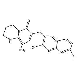 O=c1c(Cc2cc3ccc(F)cc3nc2Cl)cc([N+](=O)[O-])c2n1CCCN2